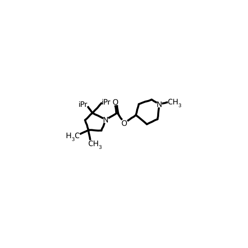 CC(C)C1(C(C)C)CC(C)(C)CN1C(=O)OC1CCN(C)CC1